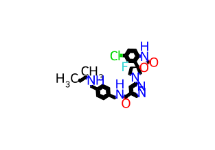 CCC(C)NCc1ccc(CNC(=O)c2cnnc(N3CC[C@]4(C3)OC(=O)Nc3ccc(Cl)c(F)c34)c2)cc1